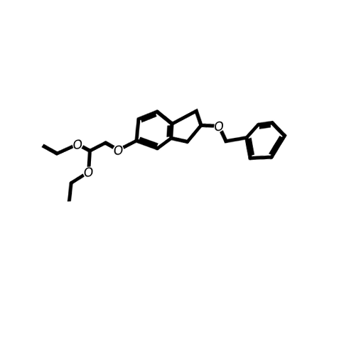 CCOC(COc1ccc2c(c1)CC(OCc1ccccc1)C2)OCC